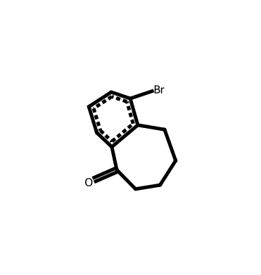 O=C1CCCCc2c(Br)cccc21